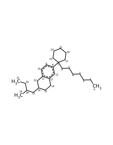 CCCCCCCC1(c2ccc3c(c2)CCC(CC(C)CC)C3)CCCCC1